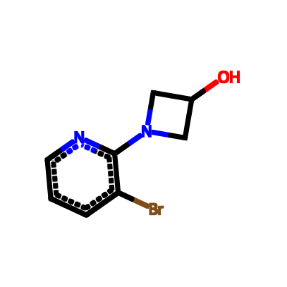 OC1CN(c2ncccc2Br)C1